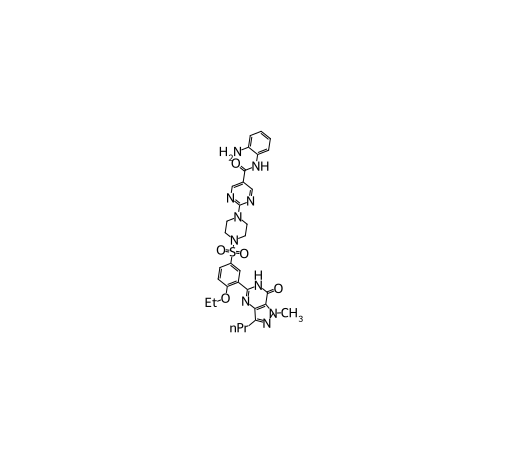 CCCc1nn(C)c2c(=O)[nH]c(-c3cc(S(=O)(=O)N4CCN(c5ncc(C(=O)Nc6ccccc6N)cn5)CC4)ccc3OCC)nc12